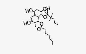 CCCCCCC(=O)OC1C(C)C(O)=CC2=C(O)CC(O)C(OC(=O)C(C)(C)CCC)C21